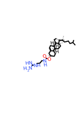 CC(C)CCC[C@@H](C)[C@H]1CC[C@H]2[C@@H]3CC=C4C[C@@H](OC(=O)NCCCNC(=N)N)CC[C@]4(C)[C@H]3CC[C@]12C